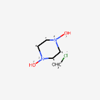 O=CCl.ON1CCN(O)CC1